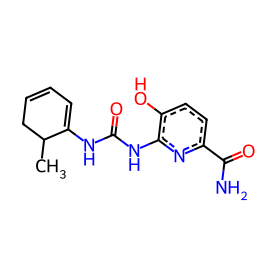 CC1CC=CC=C1NC(=O)Nc1nc(C(N)=O)ccc1O